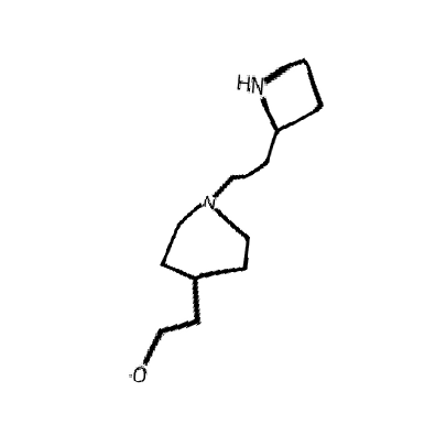 [O]CCC1CCN(CCC2CCN2)CC1